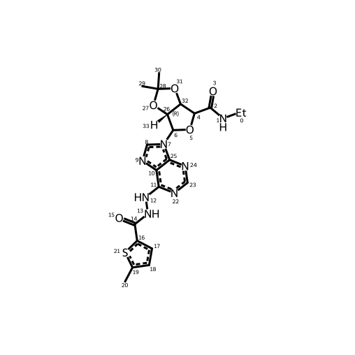 CCNC(=O)C1OC(n2cnc3c(NNC(=O)c4ccc(C)s4)ncnc32)[C@@H]2OC(C)(C)OC12